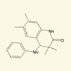 Cc1cc2c(cc1C)C(Nc1ccccc1)C(C)(C)C(=O)N2